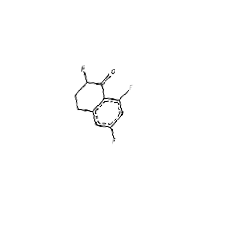 O=C1c2c(F)cc(F)cc2CCC1F